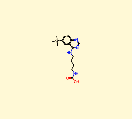 [CH3][Sn]([CH3])([CH3])[c]1ccc2ncnc(NCCCCNC(=O)O)c2c1